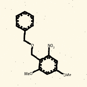 COc1cc(OC)c(COCc2ccccc2)c([N+](=O)[O-])c1